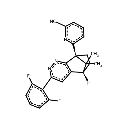 CC1(C)[C@@H]2CC[C@@]1(c1cccc(C#N)n1)c1nnc(-c3c(F)cccc3F)cc12